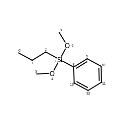 CCC[Si](OC)(OC)c1ccccc1